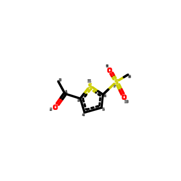 CC(=O)c1ccc(S(C)(=O)=O)s1